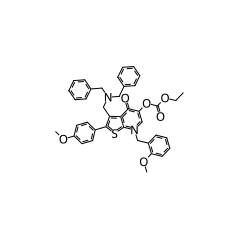 CCOC(=O)Oc1cn(Cc2ccccc2OC)c2sc(-c3ccc(OC)cc3)c(CN(Cc3ccccc3)Cc3ccccc3)c2c1=O